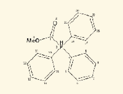 COC(=O)[PH](c1ccccc1)(c1ccccc1)c1ccccc1